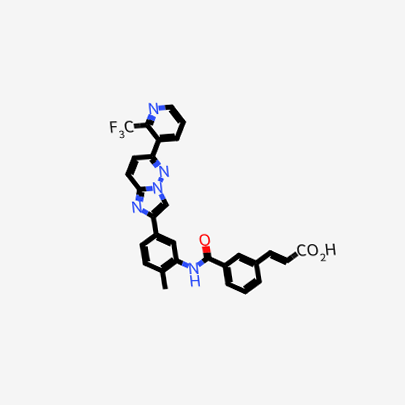 Cc1ccc(-c2cn3nc(-c4cccnc4C(F)(F)F)ccc3n2)cc1NC(=O)c1cccc(C=CC(=O)O)c1